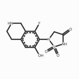 O=C1CN(c2c(O)cc3c(c2F)CNCC3)S(=O)(=O)N1